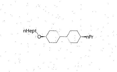 CCCCCCCO[C@H]1CC[C@H]([C@H]2CC[C@H](CCC)CC2)CC1